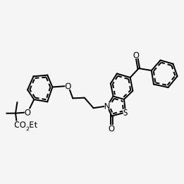 CCOC(=O)C(C)(C)Oc1cccc(OCCCn2c(=O)sc3cc(C(=O)c4ccccc4)ccc32)c1